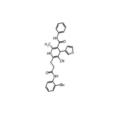 CCC(C)c1ccccc1NC(=O)CSC1=C(C#N)C(c2ccsc2)C(C(=O)Nc2ccccc2)=C(C)N1